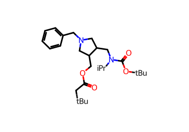 CC(C)N(CC1CN(Cc2ccccc2)CC1COC(=O)CC(C)(C)C)C(=O)OC(C)(C)C